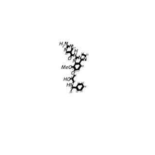 COc1c(OC[C@H](O)CN[C@H](C)c2ccccc2)ccc2c1N=C(NC(=O)c1cnc(N)nc1)N1CCN=C21